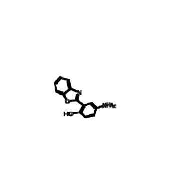 CC(=O)Nc1ccc(O)c(-c2nc3ccccc3o2)c1